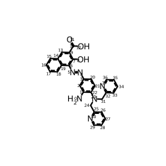 Nc1cc(/N=N/c2c(O)c(C(=O)O)cc3ccccc23)ccc1N(Cc1ccccn1)Cc1ccccn1